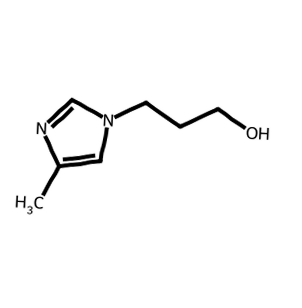 Cc1cn(CCCO)cn1